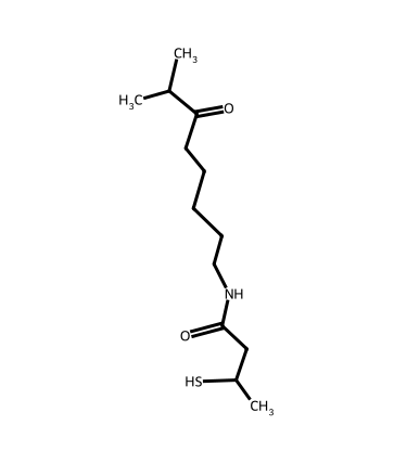 CC(S)CC(=O)NCCCCCC(=O)C(C)C